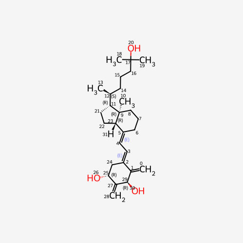 C=C1/C(=C/C=C2\CCC[C@]3(C)[C@@H]([C@@H](C)CCCC(C)(C)O)CC[C@@H]23)C[C@@H](O)C(=C)[C@@H]1O